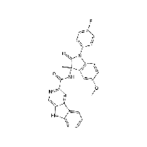 COc1ccc2c(c1)[C@](C)(NC(=O)c1cc3c(cn1)[nH]c1ccccc13)C(=O)N2c1ccc(F)cc1